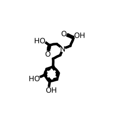 O=C(O)CN(CCc1ccc(O)c(O)c1)CC(=O)O